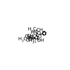 CC(C)NC(=O)C1=C(OCc2ccccc2)C(O)C=C(CO[Si](C)(C)C(C)(C)C)O1